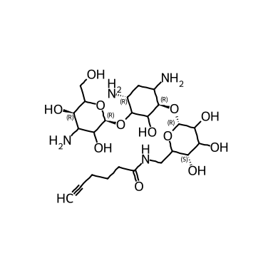 C#CCCCC(=O)NCC1O[C@H](O[C@@H]2C(N)C[C@@H](N)C(O[C@@H]3OC(CO)[C@H](O)C(N)C3O)C2O)C(O)C(O)[C@@H]1O